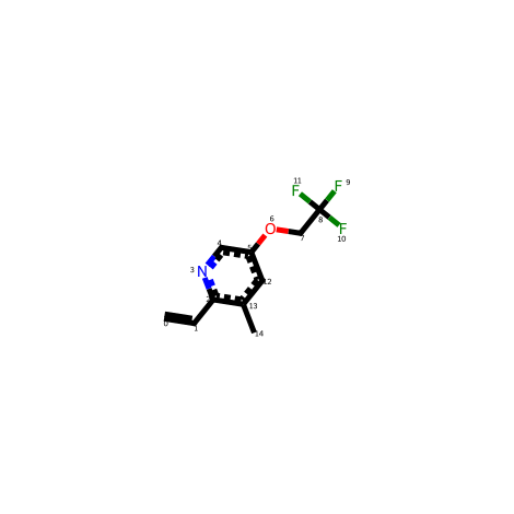 C=Cc1ncc(OCC(F)(F)F)cc1C